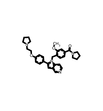 COc1cc(C(=O)N2CCCC2)ccc1Cn1c(-c2ccc(OCCN3CCCC3)cc2)cc2cnccc21